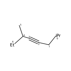 [CH2]C(C)CC#CC(C)CC